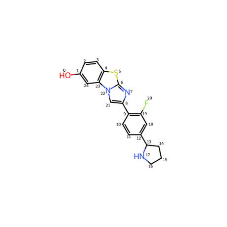 Oc1ccc2sc3nc(-c4ccc(C5CCCN5)cc4F)cn3c2c1